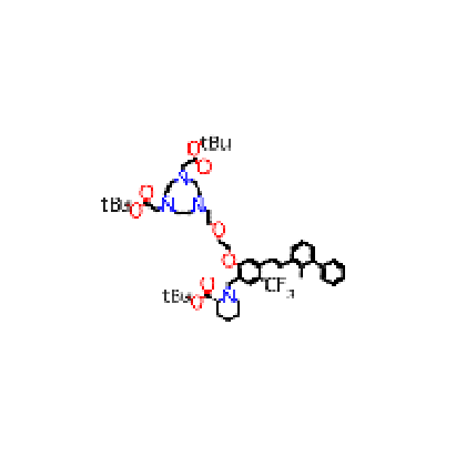 Cc1c(/C=C/c2cc(OCCOCCN3CCN(CC(=O)OC(C)(C)C)CCN(CC(=O)OC(C)(C)C)CC3)c(CN3CCCC[C@H]3C(=O)OC(C)(C)C)cc2C(F)(F)F)cccc1-c1ccccc1